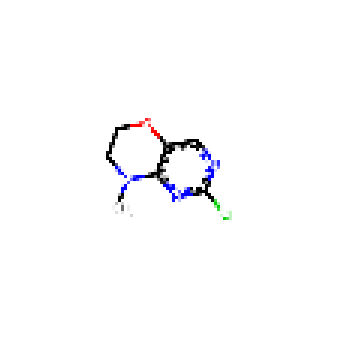 CN1CCOc2cnc(Cl)nc21